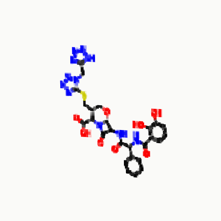 O=C(O)C1=C(CSc2nnnn2Cc2nnn[nH]2)COC2[C@@H](NC(=O)C(NC(=O)c3cccc(O)c3O)c3ccccc3)C(=O)N12